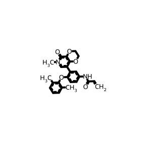 C=CC(=O)Nc1ccc(Oc2c(C)cccc2C)c(-c2cn(C)c(=O)c3c2OCCO3)c1